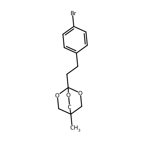 CC12COC(CCc3ccc(Br)cc3)(OC1)OC2